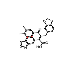 Cc1ccc(C(=O)/C(Cc2ccc3c(c2)OCO3)=C(/C(=O)O)c2ccc3nsnc3c2)cc1C